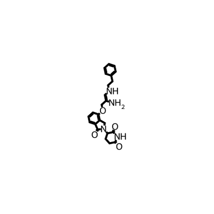 N/C(=C\NCCc1ccccc1)COc1cccc2c1CN(C1CCC(=O)NC1=O)C2=O